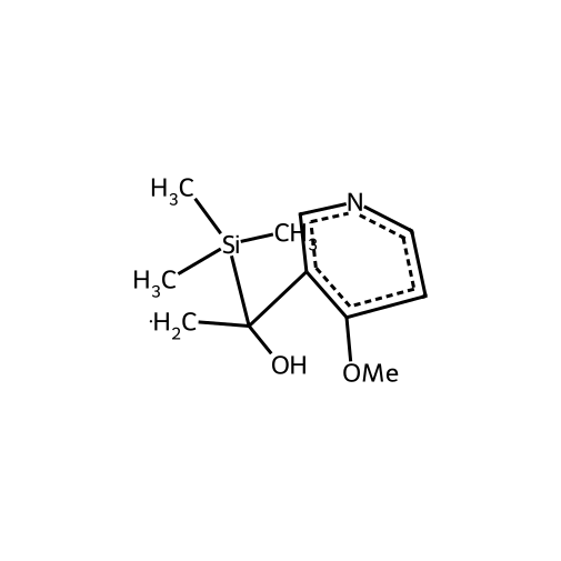 [CH2]C(O)(c1cnccc1OC)[Si](C)(C)C